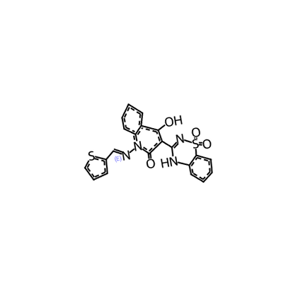 O=c1c(C2=NS(=O)(=O)c3ccccc3N2)c(O)c2ccccc2n1/N=C/c1cccs1